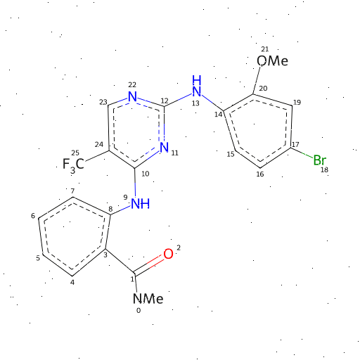 CNC(=O)c1ccccc1Nc1nc(Nc2ccc(Br)cc2OC)ncc1C(F)(F)F